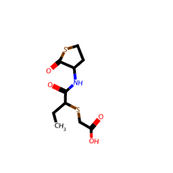 CCC(SCC(=O)O)C(=O)NC1CCSC1=O